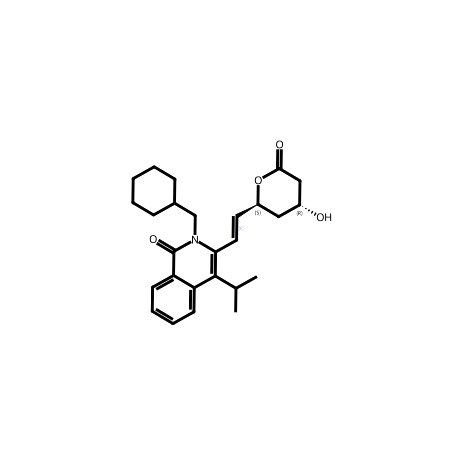 CC(C)c1c(/C=C/[C@@H]2C[C@@H](O)CC(=O)O2)n(CC2CCCCC2)c(=O)c2ccccc12